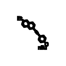 CCCCOc1ccc(C#Cc2ccc3cc(CC)ccc3c2)cc1